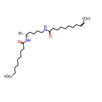 CCCCCCCC/C=C\CCCCCCCC(=O)NCCCC[C@H](NC(=O)CCCCCCCCCCCCCCCCC)C(C)C